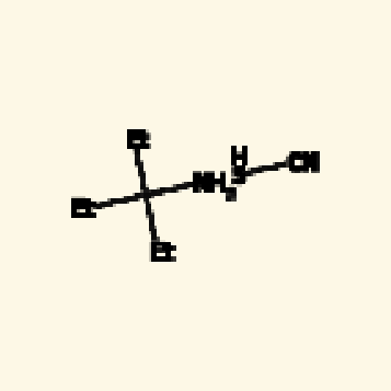 CCC(N)(CC)CC.N#CS